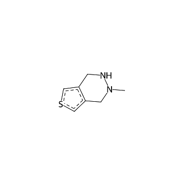 CN1Cc2cscc2CN1